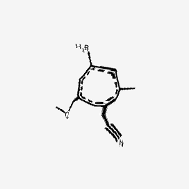 Bc1cc(C)c(C#N)c(OC)c1